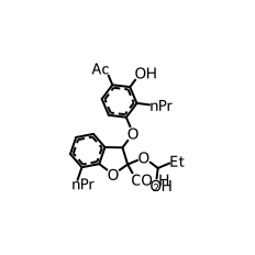 CCCc1cccc2c1OC(OC(O)CC)(C(=O)O)C2Oc1ccc(C(C)=O)c(O)c1CCC